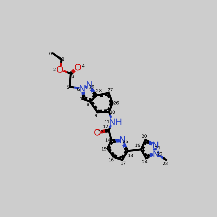 CCOC(=O)Cn1cc2cc(NC(=O)c3cccc(-c4cnn(C)c4)n3)ccc2n1